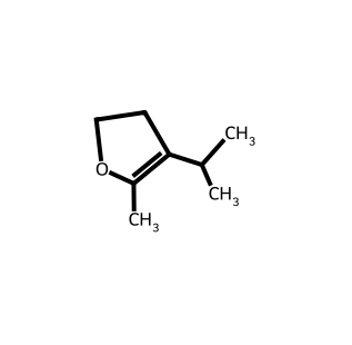 CC1=C(C(C)C)CCO1